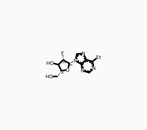 CCc1ncnc2c1ncn2[C@@H]1O[C@H](CO)C(O)[C@@H]1F